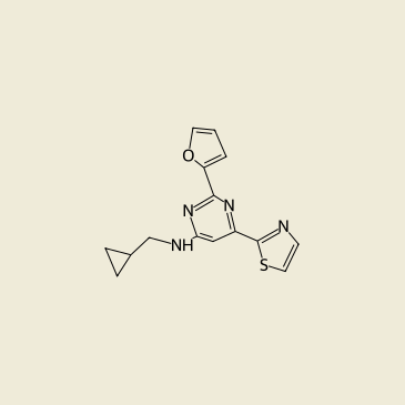 c1coc(-c2nc(NCC3CC3)cc(-c3nccs3)n2)c1